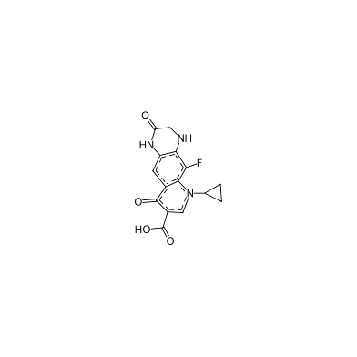 O=C1CNc2c(cc3c(=O)c(C(=O)O)cn(C4CC4)c3c2F)N1